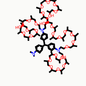 CC(O)COC(C)COC(C)COC(C)COC(C)COC(C)COCCN(CCOCC(C)OCC(C)OCC(C)OCC(C)OCC(C)OCC(C)OCC(C)O)c1ccc(C(c2ccc(N(C)C)cc2)c2ccc(N(CCOCC(C)OCC(C)OCC(C)OCC(C)OCC(C)OCC(C)O)CCOCC(C)OCC(C)OCC(C)OCC(C)OCC(C)OCC(C)OCC(C)O)cc2)cc1